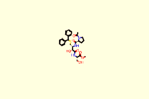 COC(=O)[C@H](CO)NC(=O)[C@H](O)[C@H](CSC(c1ccccc1)c1ccccc1)NC(=O)[C@@H]1CCCN1C(C)=O